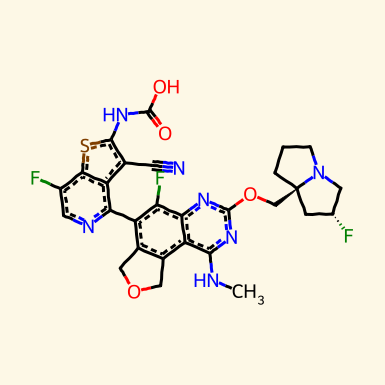 CNc1nc(OC[C@@]23CCCN2C[C@H](F)C3)nc2c(F)c(-c3ncc(F)c4sc(NC(=O)O)c(C#N)c34)c3c(c12)COC3